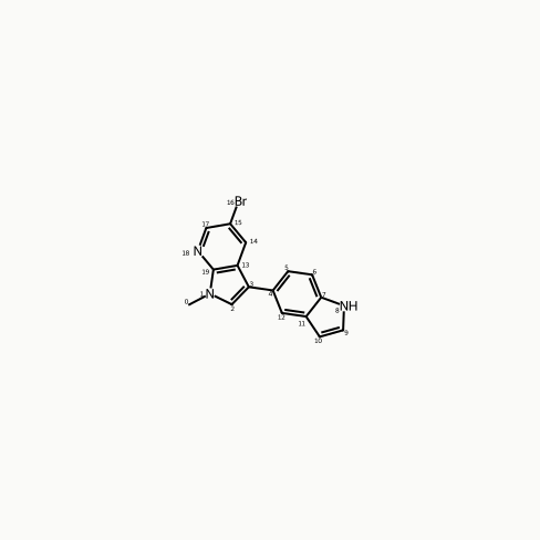 Cn1cc(-c2ccc3[nH]ccc3c2)c2cc(Br)cnc21